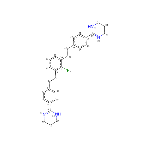 Fc1c(CCc2ccc(C3=NCCCN3)cc2)cccc1CCc1ccc(C2=NCCCN2)cc1